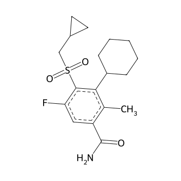 Cc1c(C(N)=O)cc(F)c(S(=O)(=O)CC2CC2)c1C1CCCCC1